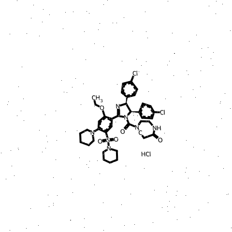 CCOc1cc(N2CCCCC2)c(S(=O)(=O)N2CCCCC2)cc1C1=N[C@@H](c2ccc(Cl)cc2)[C@@H](c2ccc(Cl)cc2)N1C(=O)N1CCNC(=O)CC1.Cl